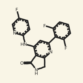 O=C1NCc2nc(-c3c(F)cccc3F)cc(Nc3ccc(F)cn3)c21